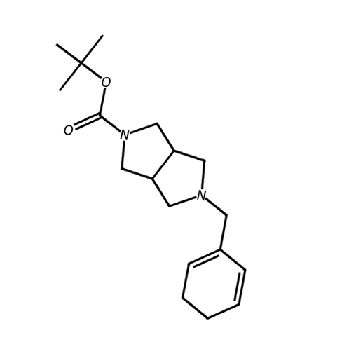 CC(C)(C)OC(=O)N1CC2CN(CC3=CCCC=C3)CC2C1